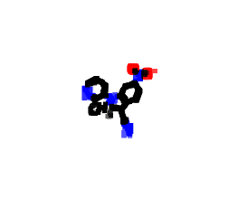 Cc1ncccc1-n1cc(C#N)c2ccc([N+](=O)[O-])cc21